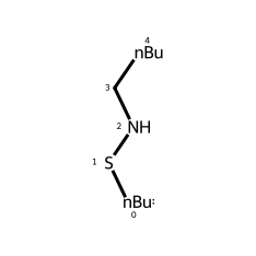 CCC[C]SNCCCCC